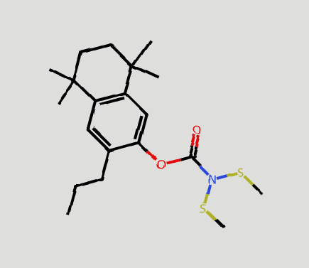 CCCc1cc2c(cc1OC(=O)N(SC)SC)C(C)(C)CCC2(C)C